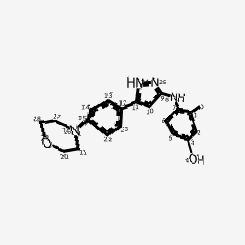 Cc1cc(O)ccc1Nc1cc(-c2ccc(N3CCOCC3)cc2)[nH]n1